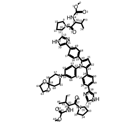 COC(=O)N[C@H](C(=O)N1CCC[C@H]1c1nc(-c2ccc(-c3ccc(-c4ccc(-c5c[nH]c([C@@H]6CCCN6C(=O)[C@@H](NC(=O)OC)C(C)C)n5)cc4)n3-c3ccc(N4CCC5(CC4)OCCO5)cc3)cc2)c[nH]1)C(C)C